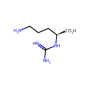 N=C(N)N[C@@H](CCCN)C(=O)O